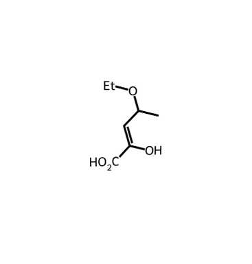 CCOC(C)C=C(O)C(=O)O